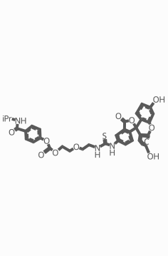 CC(C)NC(=O)c1ccc(OC(=O)OCCOCCNC(=S)Nc2ccc3c(c2)C(=O)OC32c3ccc(O)cc3Oc3cc(O)ccc32)cc1